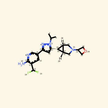 CC(C)n1nc(-c2cnc(N)c(C(F)F)c2)cc1[C@@H]1[C@@H]2CN(C3COC3)C[C@@H]21